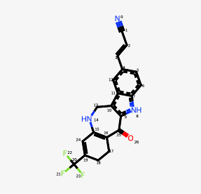 N#CC=Cc1ccc2[nH]c3c(c2c1)CNC1=C(CCC(C(F)(F)F)=C1)C3=O